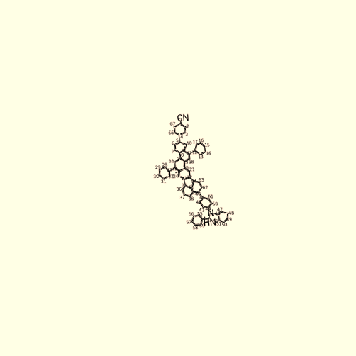 N#Cc1ccc(-c2ccc3c(c2)c(-c2ccccc2)cc2c4cc5c(cc4c(-c4ccccc4)cc32)-c2cccc3c(-c4ccc(N6c7ccccc7NC6c6ccccc6)cc4)ccc-5c23)cc1